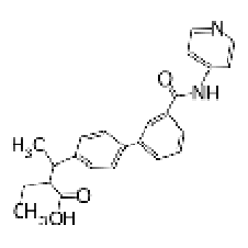 CCC(C(=O)O)C(C)c1ccc(-c2cccc(C(=O)Nc3ccncc3)c2)cc1